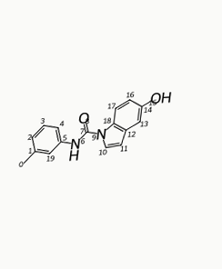 Cc1cccc(NC(=O)n2ccc3cc(O)ccc32)c1